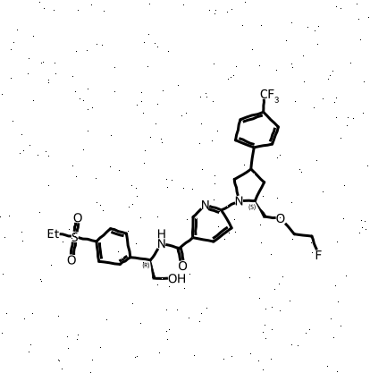 CCS(=O)(=O)c1ccc([C@H](CO)NC(=O)c2ccc(N3CC(c4ccc(C(F)(F)F)cc4)C[C@H]3COCCF)nc2)cc1